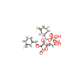 O=C1O[C@H]([C@H](CO)OP(=O)(O)O)C(OCc2cccc(F)c2)=C1OCc1cccc(F)c1